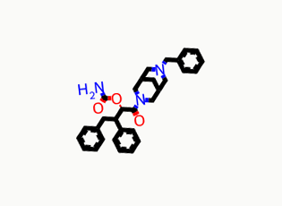 NC(=O)O[C@H](C(=O)N1CC2CC(CN(Cc3ccccc3)C2)C1)C(Cc1ccccc1)c1ccccc1